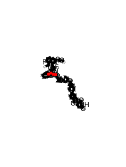 CCc1c(F)ccc2cc(OCOC)cc(-c3ncc4c(N5CC6CCC(C5)N6C(=O)OC(C)(C)C)nc(OCC5(CN6CCC(OC7CC8(CCN(c9ccc%10c(c9)CN(C9CCC(=O)NC9=O)C%10=O)CC8)C7)CC6)CC5)nc4c3F)c12